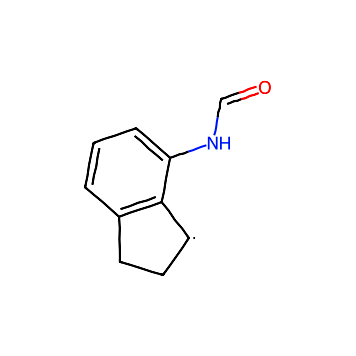 O=CNc1cccc2c1[CH]CC2